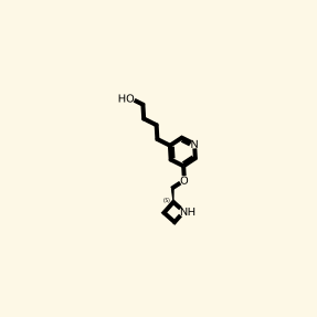 OCCCCc1cncc(OC[C@@H]2CCN2)c1